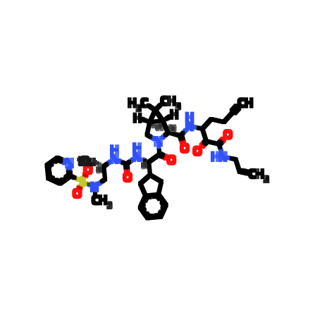 C#CCCC(NC(=O)[C@@H]1[C@@H]2[C@H](CN1C(=O)[C@@H](NC(=O)N[C@H](CN(C)S(=O)(=O)c1ccccn1)C(C)(C)C)C1Cc3ccccc3C1)C2(C)C)C(=O)C(=O)NCC=C